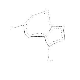 Cc1csc2ncc(F)cc12